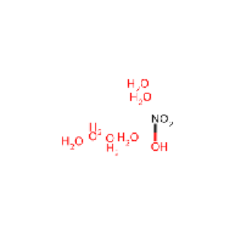 O.O.O.O.O.O.O=[N+]([O-])O